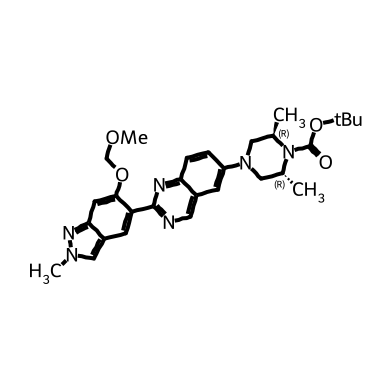 COCOc1cc2nn(C)cc2cc1-c1ncc2cc(N3C[C@@H](C)N(C(=O)OC(C)(C)C)[C@H](C)C3)ccc2n1